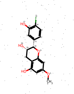 COc1cc(O)c2c(c1)O[C@@H](c1ccc(F)c(O)c1)[C@@H](O)C2